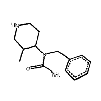 CC1CNCCC1N(Cc1ccccc1)C(N)=O